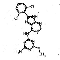 CSc1nc(N)cc(Nc2ncnc3[nH]c(-c4c(Cl)cccc4Cl)nc23)n1